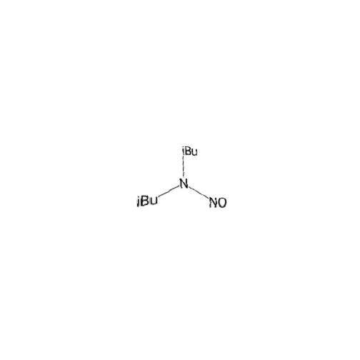 CCC(C)N(N=O)C(C)CC